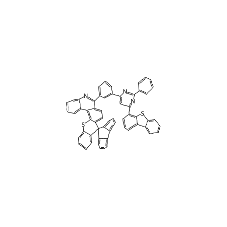 c1ccc(-c2nc(-c3cccc(-c4nc5ccccc5c5c6c(ccc45)C4(c5ccccc5S6)c5ccccc5-c5ccccc54)c3)cc(-c3cccc4c3sc3ccccc34)n2)cc1